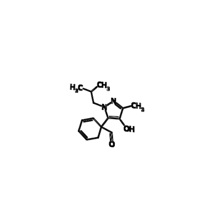 Cc1nn(CC(C)C)c(C2(C=O)C=CC=CC2)c1O